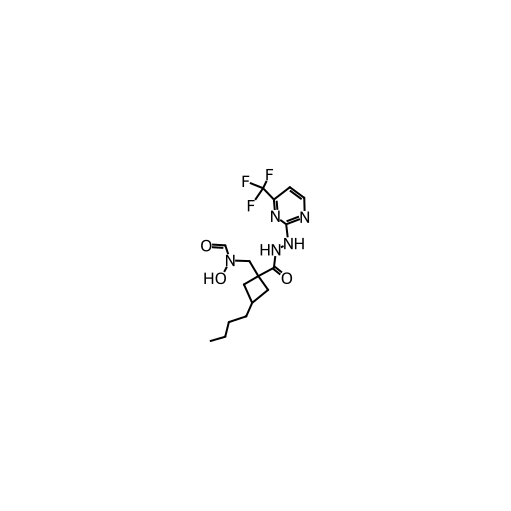 CCCCC1CC(CN(O)C=O)(C(=O)NNc2nccc(C(F)(F)F)n2)C1